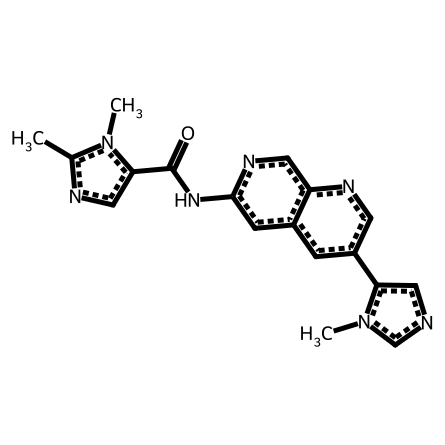 Cc1ncc(C(=O)Nc2cc3cc(-c4cncn4C)cnc3cn2)n1C